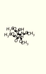 COCNC1C(N(O)COC)N(COC)C(=O)N1COC